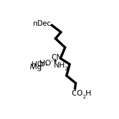 CCCCCCCCCCCCCCCCCC(=O)O.N#CN.[Mg+2].[OH-].[OH-]